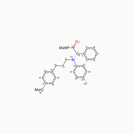 CNC(=O)[C@H](c1ccccc1)N(CCCc1ccc(OC)cc1)c1ccc(F)cc1